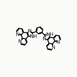 c1cc(-c2nc3c4cccnc4c4ncccc4c3[nH]2)cc(-c2nc3c4cccnc4c4ncccc4c3[nH]2)c1